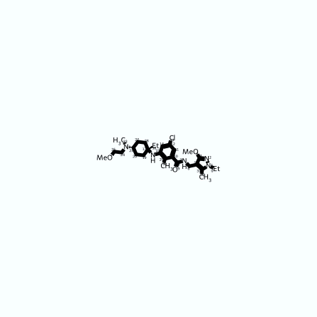 CCn1nc(OC)c(CNC(=O)c2cc(Cl)cc(N[C@]3(CC)CC[C@H](N(C)CCOC)CC3)c2C)c1C